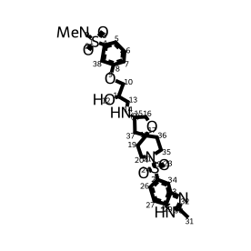 CNS(=O)(=O)c1cccc(OCC(O)CN[C@H]2COC3(CCN(S(=O)(=O)c4ccc5[nH]c(C)nc5c4)CC3)C2)c1